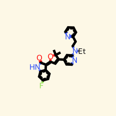 CCN(CCc1ccccn1)c1cc(C2=CC(=C3C(=O)Nc4cc(F)ccc43)OC2(C)C)ccn1